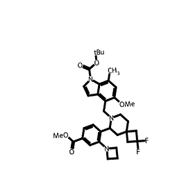 COC(=O)c1ccc(C2CC3(CCN2Cc2c(OC)cc(C)c4c2ccn4C(=O)OC(C)(C)C)CC(F)(F)C3)c(N2CCC2)c1